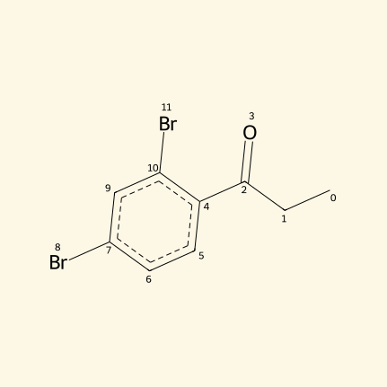 CCC(=O)c1ccc(Br)cc1Br